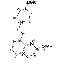 CNN1CCN(CCc2ccnc3ccc(OC)nc23)CC1